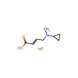 CN(CC=CC(=O)O)C1CC1.Cl